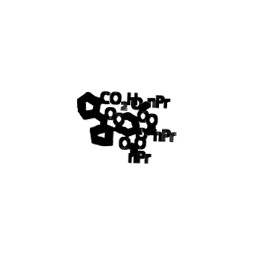 CCCC(=O)O[C@@H]1[C@H](OC(=O)CCC)[C@@H](c2ccccc2C(=O)c2ccccc2C(=O)O)OC[C@H]1OC(=O)CCC